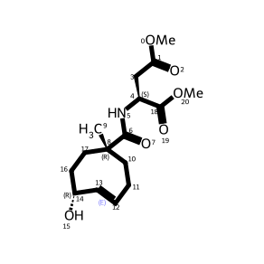 COC(=O)C[C@H](NC(=O)[C@]1(C)CC/C=C/[C@H](O)CC1)C(=O)OC